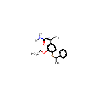 CCN(CC)C(=O)/C=C(/C)c1ccc(SC(C)c2ccccc2)c(OCC(=O)O)c1